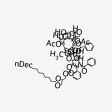 CCCCCCCCCCCCCCCCCC1OCC(COC(=O)O[C@@H](C(=O)O[C@H]2C[C@@]3(O)[C@@H](OC(=O)c4ccccc4)[C@@H]4[C@]5(OC(C)=O)CO[C@@H]5C[C@H](O)[C@@]4(C)C(=O)[C@H](OC(C)=O)C(=C2C)C3(C)C)[C@@H](NC(=O)c2ccccc2)c2ccccc2)O1